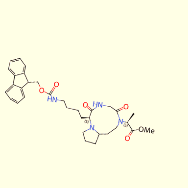 COC(=O)[C@H](C)N1CCC2CCCN2[C@@H](CCCCNC(=O)OCC2c3ccccc3-c3ccccc32)C(=O)NCC1=O